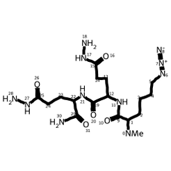 CNC(CCCCN=[N+]=[N-])C(=O)NC(CCC(=O)NN)C(=O)NC(CCC(=O)NN)C(N)=O